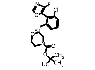 CC(C)(C)OC(=O)N1CCO[C@H](Cc2cccc(Cl)c2-c2ocnc2F)C1